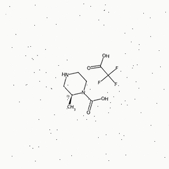 C[C@H]1CNCCN1C(=O)O.O=C(O)C(F)(F)F